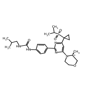 CC(C)CNC(=O)Nc1ccc(-c2nc(N3CCOC[C@@H]3C)cc(C3(S(=O)(=O)C(C)C)CC3)n2)cc1